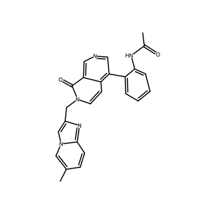 CC(=O)Nc1ccccc1-c1cncc2c(=O)n(Cc3cn4cc(C)ccc4n3)ccc12